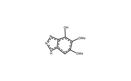 COc1cc2[nH]nnc2c(O)c1OC